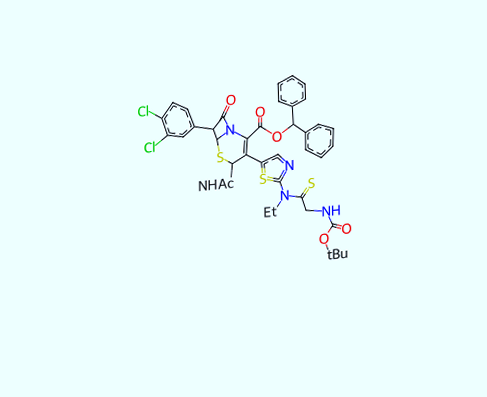 CCN(C(=S)CNC(=O)OC(C)(C)C)c1ncc(C2=C(C(=O)OC(c3ccccc3)c3ccccc3)N3C(=O)C(c4ccc(Cl)c(Cl)c4)C3SC2NC(C)=O)s1